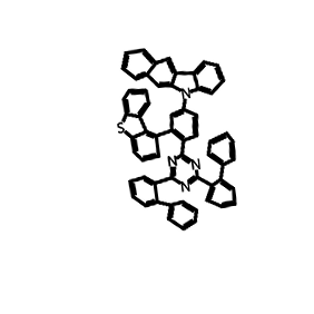 c1ccc(-c2ccccc2-c2nc(-c3ccccc3-c3ccccc3)nc(-c3ccc(-n4c5ccccc5c5cc6ccccc6cc54)cc3-c3cccc4sc5ccccc5c34)n2)cc1